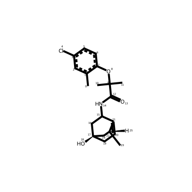 Cc1cc(Cl)ccc1OC(C)(C)C(=O)NC1C[C@@]2(O)CC=C1[C@H](C)C2